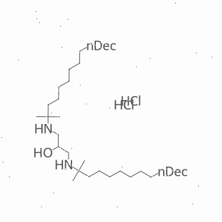 CCCCCCCCCCCCCCCCCC(C)(C)NCC(O)CNC(C)(C)CCCCCCCCCCCCCCCCC.Cl.Cl